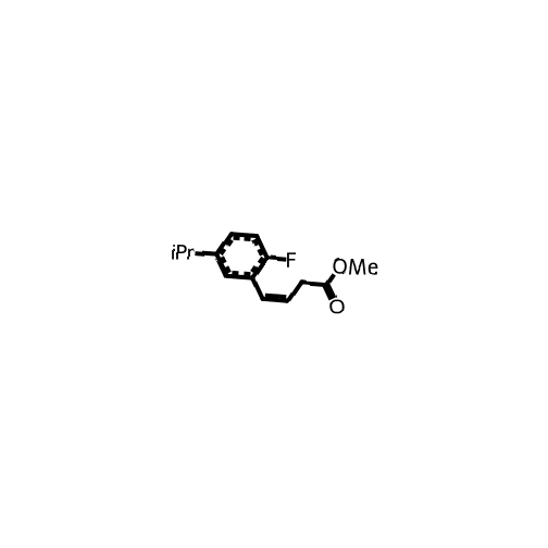 COC(=O)C/C=C\c1cc(C(C)C)ccc1F